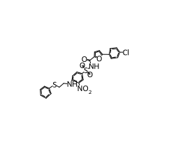 O=C(NS(=O)(=O)c1ccc(NCCSc2ccccc2)c([N+](=O)[O-])c1)c1ccc(-c2ccc(Cl)cc2)o1